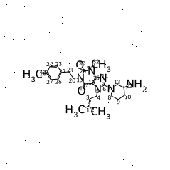 CC(C)=CCn1c(N2CCCC(N)C2)nc2c1c(=O)n(CCc1ccc(C)cc1)c(=O)n2C